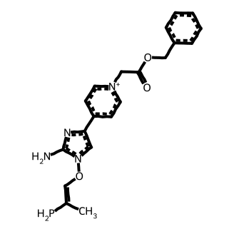 C/C(P)=C\On1cc(-c2cc[n+](CC(=O)OCc3ccccc3)cc2)nc1N